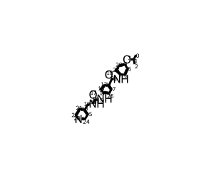 CC(C)Oc1ccc(NC(=O)c2ccc(NC(=O)NCc3ccncc3)cc2)cc1